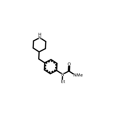 CCN(C(=O)NC)c1ccc(CC2CCNCC2)cc1